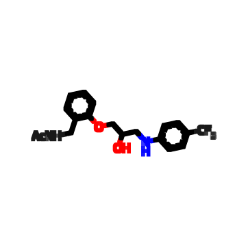 CC(=O)NCc1ccccc1OCC(O)CNc1ccc(C(F)(F)F)cc1